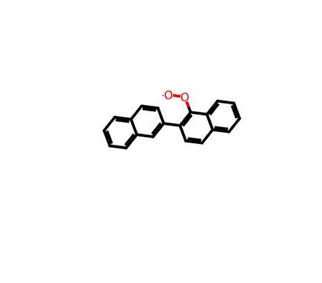 [O]Oc1c(-c2ccc3ccccc3c2)ccc2ccccc12